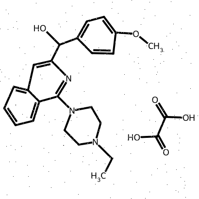 CCN1CCN(c2nc(C(O)c3ccc(OC)cc3)cc3ccccc23)CC1.O=C(O)C(=O)O